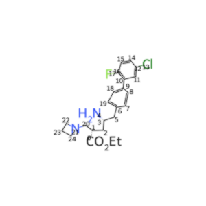 CCOC(=O)[C@@H](C[C@H](N)Cc1ccc(-c2cc(Cl)ccc2F)cc1)CN1CCC1